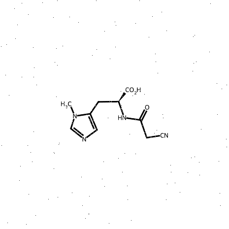 Cn1cncc1C[C@H](NC(=O)CC#N)C(=O)O